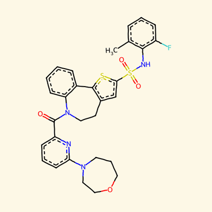 Cc1cccc(F)c1NS(=O)(=O)c1cc2c(s1)-c1ccccc1N(C(=O)c1cccc(N3CCCOCC3)n1)CC2